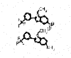 CCn1c(-c2cccc(C(F)(F)F)c2)cc2cc(N)ccc21.CCn1c(-c2cccc(C(F)(F)F)c2)cc2cc([N+](=O)[O-])ccc21